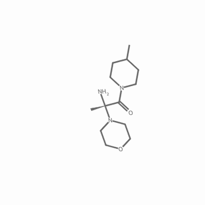 CC1CCN(C(=O)[C@@](C)(N)N2CCOCC2)CC1